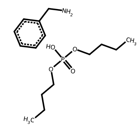 CCCCOP(=O)(O)OCCCC.NCc1ccccc1